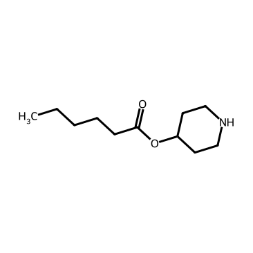 CCCCCC(=O)OC1CCNCC1